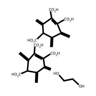 C=C1C(=C)C(C(=O)O)C(=C)C(C(=O)O)=C1C(=O)O.C=C1C(=C)C(C(=O)O)C(=C)C(C(=O)O)=C1C(=O)O.OCCO